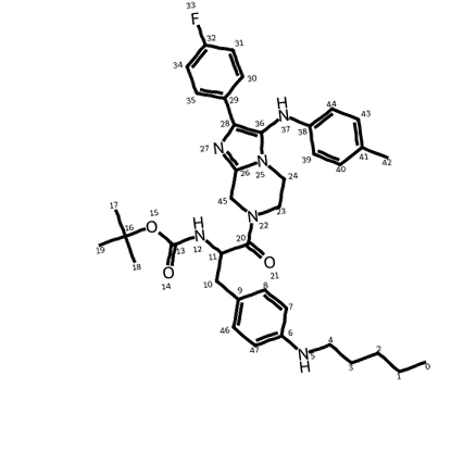 CCCCCNc1ccc(CC(NC(=O)OC(C)(C)C)C(=O)N2CCn3c(nc(-c4ccc(F)cc4)c3Nc3ccc(C)cc3)C2)cc1